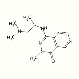 CC(CN(C)C)Nc1nn(C)c(=O)c2cnccc12